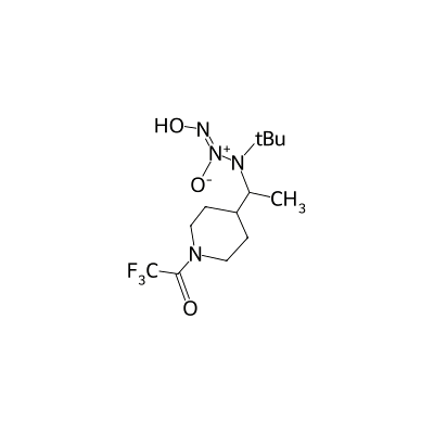 CC(C1CCN(C(=O)C(F)(F)F)CC1)N([N+]([O-])=NO)C(C)(C)C